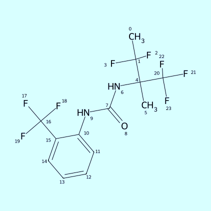 CC(F)(F)C(C)(NC(=O)Nc1ccccc1C(F)(F)F)C(F)(F)F